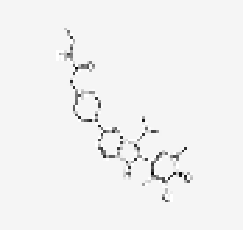 CCNC(=O)CN1CCC(c2ccc3[nH]c(-c4cn(C)c(=O)c(Cl)c4C)c(C(C)C)c3c2)CC1